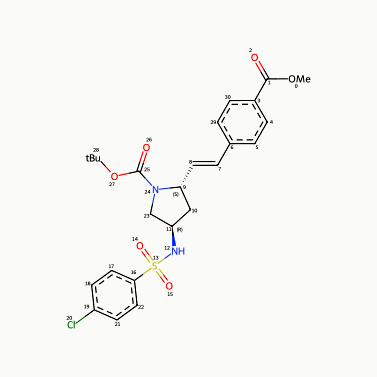 COC(=O)c1ccc(C=C[C@@H]2C[C@@H](NS(=O)(=O)c3ccc(Cl)cc3)CN2C(=O)OC(C)(C)C)cc1